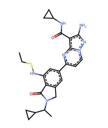 CCSNc1cc(-c2ccn3nc(N)c(C(=O)NC4CC4)c3n2)cc2c1C(=O)N(C(C)C1CC1)C2